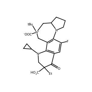 CCC1(C(=O)O)CN(C2CC2)c2c(cc(F)c3c2C[N+](C(=O)[O-])(C(C)(C)C)CC2CCCN32)C1=O